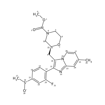 COC(=O)N1CCO[C@@H](Cc2c(-c3ccc([S+](C)[O-])cc3F)nc3cc(C)ccn23)C1